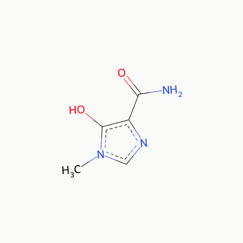 Cn1cnc(C(N)=O)c1O